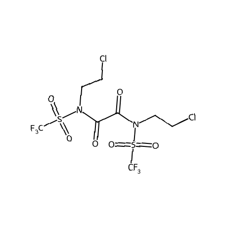 O=C(C(=O)N(CCCl)S(=O)(=O)C(F)(F)F)N(CCCl)S(=O)(=O)C(F)(F)F